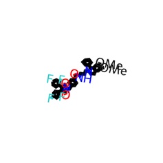 COc1cc2c(cc1OC)C(c1ccccc1)N(CCCNC(=O)c1ccc(CN3C(=O)C(c4ccc(F)cc4F)=C(c4ccc(F)cc4F)C3=O)cc1)CC2